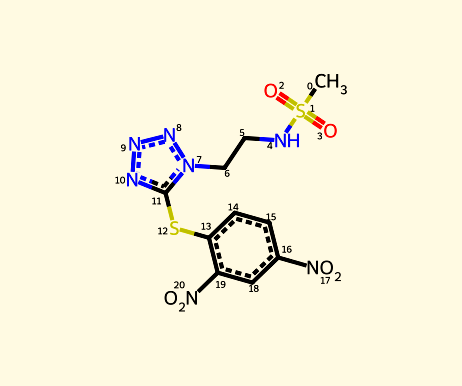 CS(=O)(=O)NCCn1nnnc1Sc1ccc([N+](=O)[O-])cc1[N+](=O)[O-]